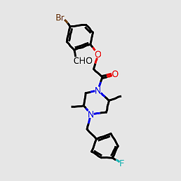 CC1CN(C(=O)COc2ccc(Br)cc2C=O)C(C)CN1Cc1ccc(F)cc1